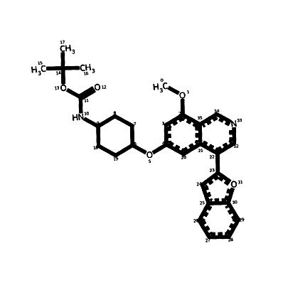 COc1cc(OC2CCC(NC(=O)OC(C)(C)C)CC2)cc2c(-c3cc4ccccc4o3)cncc12